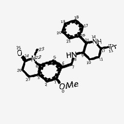 COc1cc2c(cc1CNC1CCC(C(C)C)NC1c1ccccc1)N(C)C(=O)CC2